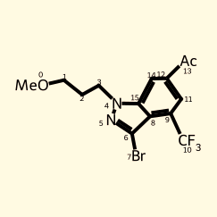 COCCCn1nc(Br)c2c(C(F)(F)F)cc(C(C)=O)cc21